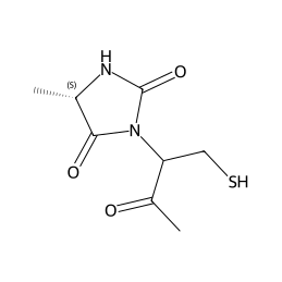 CC(=O)C(CS)N1C(=O)N[C@@H](C)C1=O